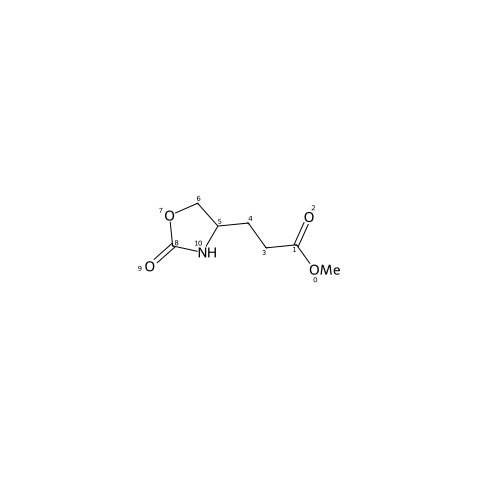 COC(=O)CCC1COC(=O)N1